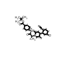 CC(C(=O)Nc1ccc(C(=O)OC(C)(C)C)cc1)n1cc(F)c(-c2cc(Cl)ccc2C#N)cc1=O